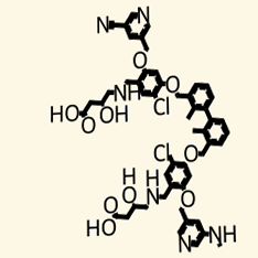 CNc1cncc(COc2cc(OCc3cccc(-c4cccc(COc5cc(OCc6cncc(C#N)c6)c(CNC[C@@H](O)CC(=O)O)cc5Cl)c4C)c3C)c(Cl)cc2CNC[C@@H](O)CC(=O)O)c1